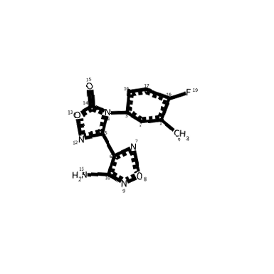 Cc1cc(-n2c(-c3nonc3N)noc2=O)ccc1F